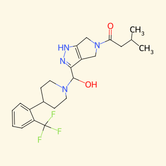 CC(C)CC(=O)N1Cc2[nH]nc(C(O)N3CCC(c4ccccc4C(F)(F)F)CC3)c2C1